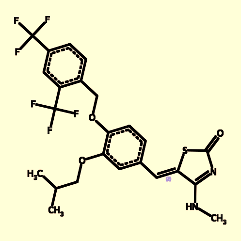 CNC1=NC(=O)S/C1=C\c1ccc(OCc2ccc(C(F)(F)F)cc2C(F)(F)F)c(OCC(C)C)c1